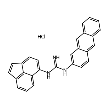 Cl.N=C(Nc1ccc2cc3ccccc3cc2c1)Nc1ccc2c3c(cccc13)C=C2